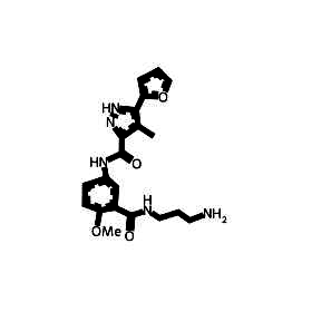 COc1ccc(NC(=O)c2n[nH]c(-c3ccco3)c2C)cc1C(=O)NCCCN